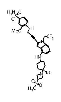 CC[C@]1(N2CC(S(C)(=O)=O)C2)CC[C@H](Nc2cccc3c2cc(C#CCNc2ccc(S(N)(=O)=O)cc2OC)n3CC(F)(F)F)CC1